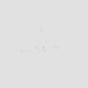 CCCC(C(=O)O)n1c(=O)n(C(C)c2c[nH]c3cc(C)cc(C)c23)c2ccc(C#N)cc21